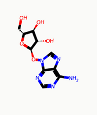 Nc1ncnc2c1ncn2O[C@H]1O[C@H](CO)[C@@H](O)[C@@H]1O